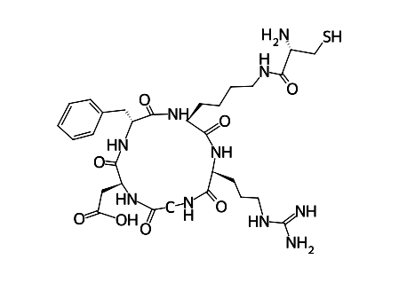 N=C(N)NCCC[C@@H]1NC(=O)[C@H](CCCCNC(=O)[C@H](N)CS)NC(=O)[C@@H](Cc2ccccc2)NC(=O)[C@H](CC(=O)O)NC(=O)CNC1=O